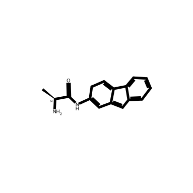 C[C@H](N)C(=O)NC1=CC2=Cc3ccccc3C2=CC1